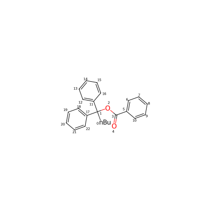 CCCCC(OC(=O)c1ccccc1)(c1ccccc1)c1ccccc1